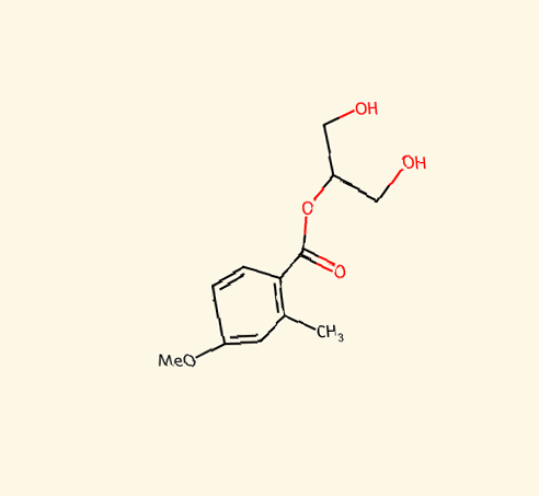 COc1ccc(C(=O)OC(CO)CO)c(C)c1